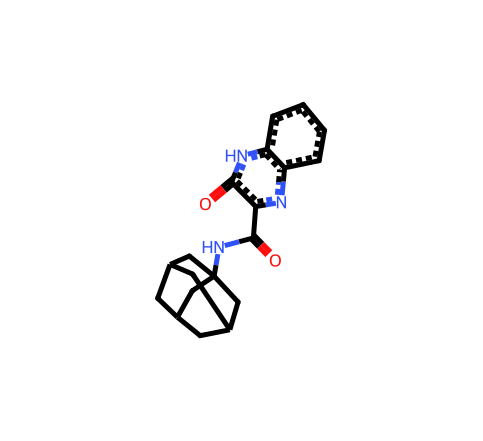 O=C(NC12CC3CC(CC(C3)C1)C2)c1nc2ccccc2[nH]c1=O